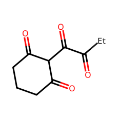 CCC(=O)C(=O)C1C(=O)CCCC1=O